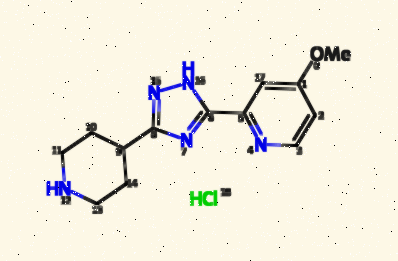 COc1ccnc(-c2nc(C3CCNCC3)n[nH]2)c1.Cl